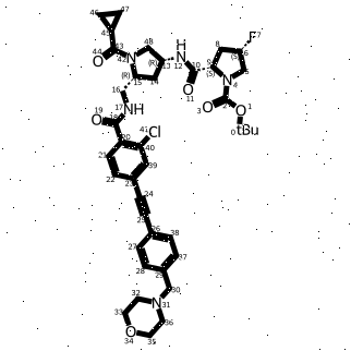 CC(C)(C)OC(=O)N1C[C@@H](F)C[C@H]1C(=O)N[C@@H]1C[C@H](CNC(=O)c2ccc(C#Cc3ccc(CN4CCOCC4)cc3)cc2Cl)N(C(=O)C2CC2)C1